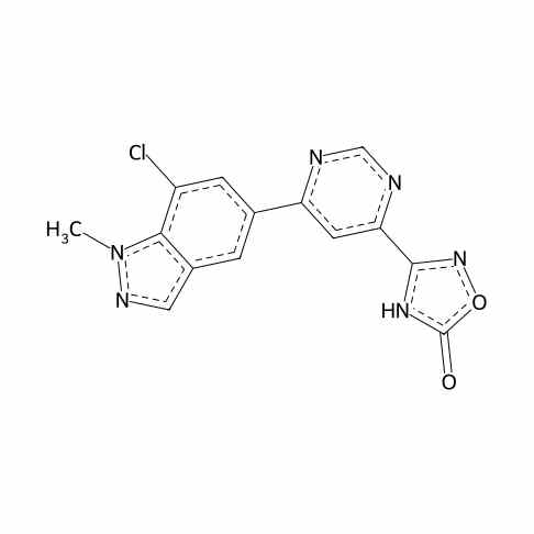 Cn1ncc2cc(-c3cc(-c4noc(=O)[nH]4)ncn3)cc(Cl)c21